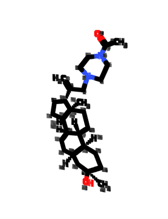 C=C(CN1CCN(C(C)=O)CC1)[C@H]1CC[C@H]2[C@@H]3CC[C@@H]4C[C@](C)(O)CC[C@@H]4[C@H]3CC[C@]12C